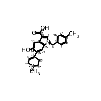 Cc1ccc(Cn2cc(C(=O)O)c3cc(O)c(C4=CCN(C)CC4)cc32)cc1